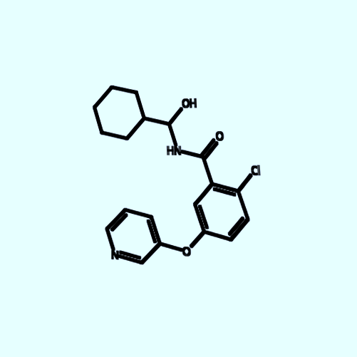 O=C(NC(O)C1CCCCC1)c1cc(Oc2cccnc2)ccc1Cl